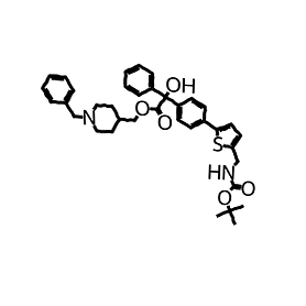 CC(C)(C)OC(=O)NCc1ccc(-c2ccc(C(O)(C(=O)OCC3CCN(Cc4ccccc4)CC3)c3ccccc3)cc2)s1